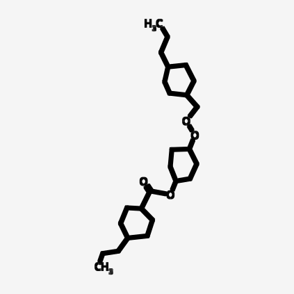 CCCC1CCC(COOC2CCC(OC(=O)C3CCC(CCC)CC3)CC2)CC1